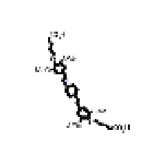 COc1cc(/C=C/c2ccc(/C=C/c3cc(OC)c(OCCCCS(=O)(=O)O)c(OC)c3)cc2)cc(OC)c1OCCCCS(=O)(=O)O